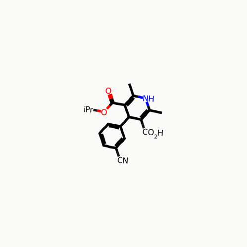 CC1=C(C(=O)O)C(c2cccc(C#N)c2)C(C(=O)OC(C)C)=C(C)N1